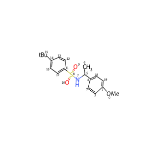 COc1ccc(C(C)NS(=O)(=O)c2ccc(C(C)(C)C)cc2)cc1